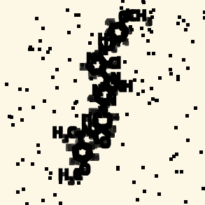 COc1ccc(CNc2nccc(-c3n[nH]c4nc(N5CCC6(CC5)COC[C@H]6N[C@H](C)c5ccc(OC)cc5)cnc34)c2Cl)cc1